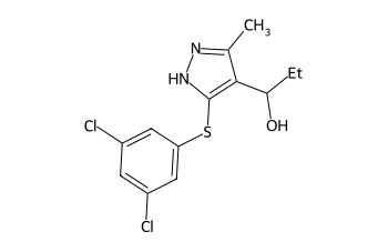 CCC(O)c1c(C)n[nH]c1Sc1cc(Cl)cc(Cl)c1